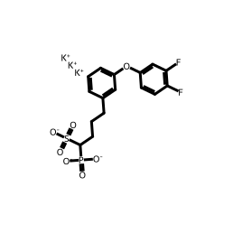 O=P([O-])([O-])C(CCCc1cccc(Oc2ccc(F)c(F)c2)c1)S(=O)(=O)[O-].[K+].[K+].[K+]